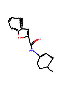 CC1CCC(NC(=O)c2cc3ccccc3o2)CC1